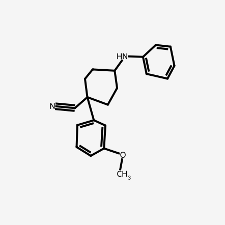 COc1cccc(C2(C#N)CCC(Nc3ccccc3)CC2)c1